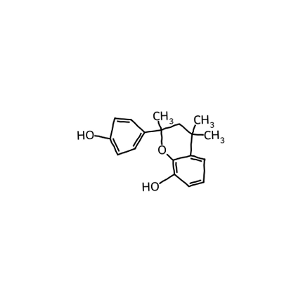 CC1(C)CC(C)(c2ccc(O)cc2)Oc2c(O)cccc21